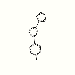 Clc1ccc(-c2nsc(-c3ccoc3)n2)cc1